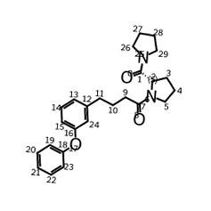 O=C([C@@H]1CCCN1C(=O)CCCc1cccc(Oc2ccccc2)c1)N1CCCC1